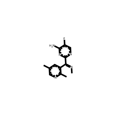 C/N=C(/c1ncc(F)c(N)n1)c1cc(C)cnc1C